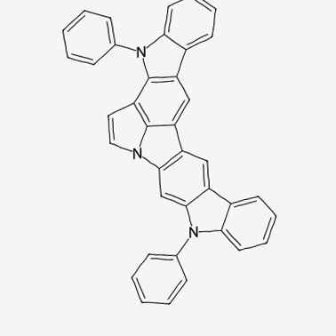 c1ccc(-n2c3ccccc3c3cc4c5cc6c7ccccc7n(-c7ccccc7)c6c6ccn(c4cc32)c56)cc1